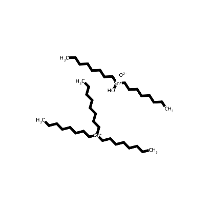 CCCCCCC[CH2][Sn+]([CH2]CCCCCCC)[CH2]CCCCCCC.CCCCCCC[CH2][Sn+]([OH])[CH2]CCCCCCC.[O-2]